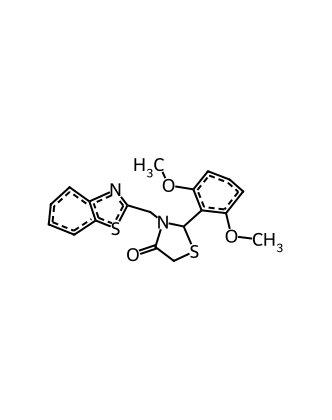 COc1cccc(OC)c1C1SCC(=O)N1Cc1nc2ccccc2s1